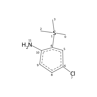 CS(C)(C)c1cc(Cl)ccc1N